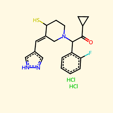 Cl.Cl.O=C(C1CC1)C(c1ccccc1F)N1CCC(S)C(=Cc2cn[nH]c2)C1